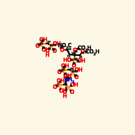 NC(P(=O)(O)O)P(=O)(O)O.O=C(O)OCCC(COC(=O)O)(OC(=O)O)P(=O)(O)O.O=P(O)(O)CP(=O)(O)O.O=P(O)(O)CP(=O)(O)O